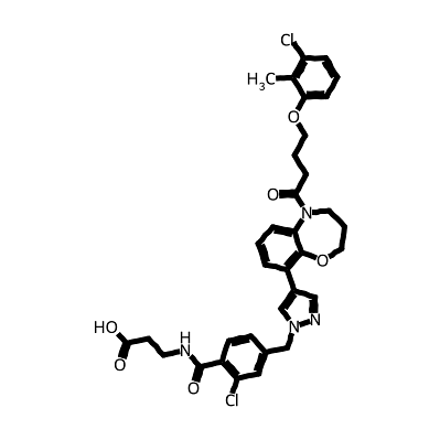 Cc1c(Cl)cccc1OCCCC(=O)N1CCCOc2c(-c3cnn(Cc4ccc(C(=O)NCCC(=O)O)c(Cl)c4)c3)cccc21